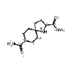 CNC(=O)C1CCC2(CCN(C(N)=O)CC2)N1